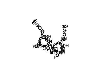 Cc1c(Cl)c2c(Cl)c(C)c1-c1c(-c3ccc(F)c(C4CN(C)CCN4C[C@@H]4COc5ccc(OCc6ccnc([C@H]7CC[C@@](F)(COC[C@@H]8COCCO8)CC7)n6)c(c5)C[C@H](C(=O)O)Oc5ncnc6sc(-c7ccc(F)cc7)c(c56)-c5c(C)c(Cl)c(c(Cl)c5C)O4)c3)sc3ncnc(c13)O[C@@H](C(=O)O)Cc1cc(ccc1OCc1ccnc([C@H]3CC[C@@](F)(COC[C@H]4COCCO4)CC3)n1)OC[C@@H](CN1CCN(C)CC1)O2